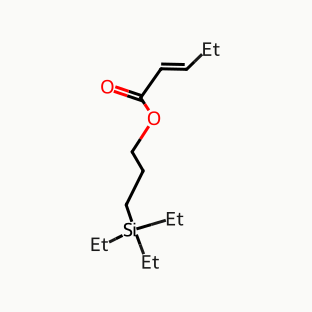 CCC=CC(=O)OCCC[Si](CC)(CC)CC